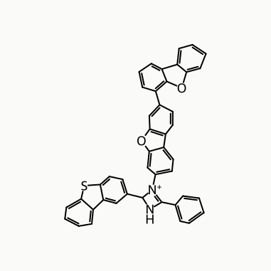 c1ccc(C2=[N+](c3ccc4c(c3)oc3cc(-c5cccc6c5oc5ccccc56)ccc34)C(c3ccc4sc5ccccc5c4c3)N2)cc1